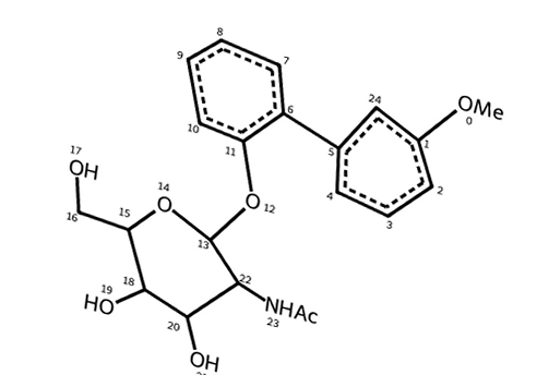 COc1cccc(-c2ccccc2OC2OC(CO)C(O)C(O)C2NC(C)=O)c1